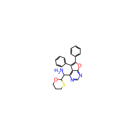 NC(c1ncnc2oc(-c3ccccc3)c(-c3ccccc3)c12)C1OCCCS1